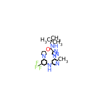 Cc1ncc(Nc2cc(N3CCCC3)cc(C(F)(F)F)c2)cc1-n1cc(C(=O)NCC(C)(C)C)nn1